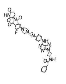 O=C1CC[C@H](N2C(=O)c3cc(F)c(N4CCN(C5CN(c6ccc(Nc7ncnc8c7ncn8C7CC(NC(=O)Cc8ccccc8)C7)cc6)C5)CC4)cc3C2=O)C(=O)N1